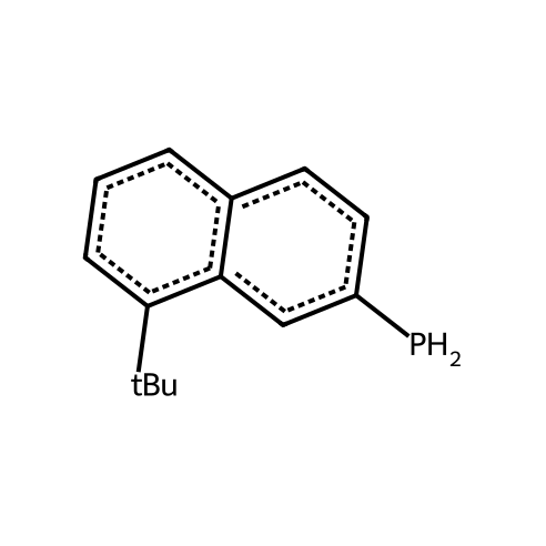 CC(C)(C)c1cccc2ccc(P)cc12